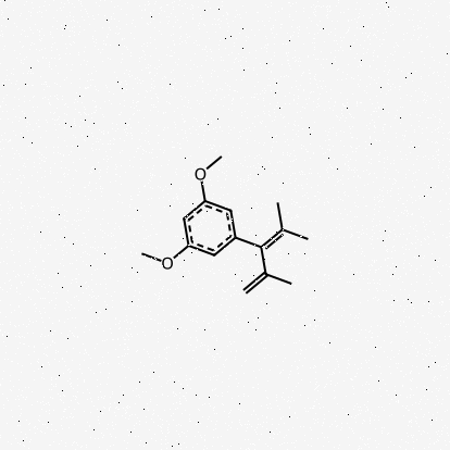 C=C(C)C(=C(C)C)c1cc(OC)cc(OC)c1